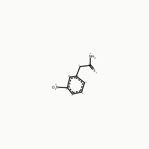 NC(=S)Cc1cccc([N+](=O)[O-])c1